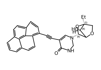 CC[C@@]12COC([C@H](N3C=C(C#Cc4ccc5ccc6cccc7ccc4c5c67)C(=O)NC3)O1)[C@H]2O